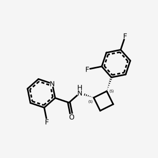 O=C(N[C@H]1CC[C@H]1c1ccc(F)cc1F)c1ncccc1F